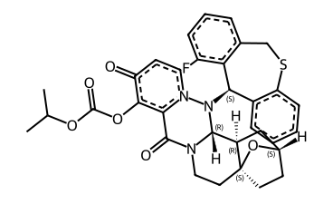 CC(C)OC(=O)Oc1c2n(ccc1=O)N([C@@H]1c3ccccc3SCc3cccc(F)c31)[C@@H]1[C@H]3C[C@@H]4CC[C@@]3(CCN1C2=O)O4